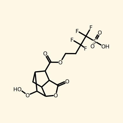 O=C(OCCC(F)(F)C(F)(F)S(=O)(=O)O)C1C2CC3C(OC(=O)C31)C2OO